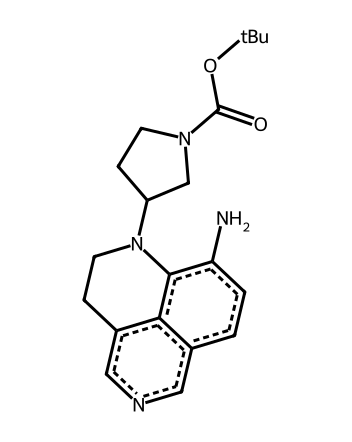 CC(C)(C)OC(=O)N1CCC(N2CCc3cncc4ccc(N)c2c34)C1